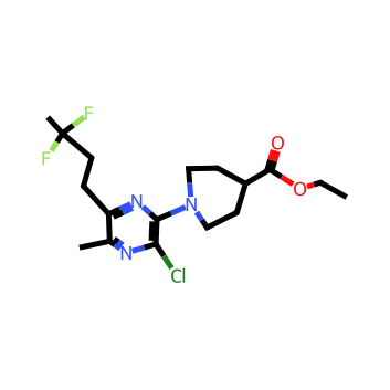 CCOC(=O)C1CCN(c2nc(CCC(C)(F)F)c(C)nc2Cl)CC1